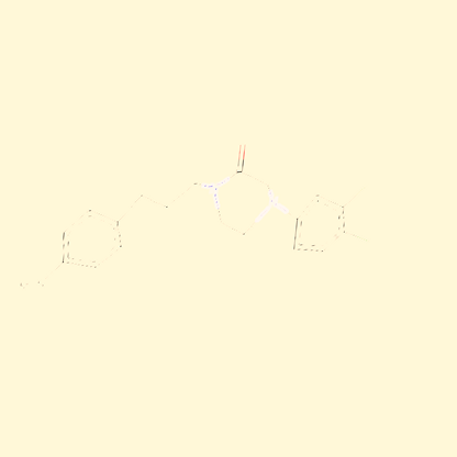 CNc1ccc(CCCN2CCN(c3ccc(Cl)c(Cl)c3)CC2=O)cc1